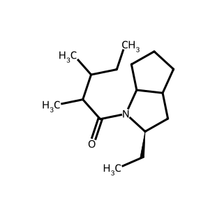 CCC(C)C(C)C(=O)N1C2CCCC2C[C@H]1CC